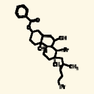 CCCC1C2C(O)C=C3CC(OC(=O)c4ccccc4)CCC3(C)C2CCC1(C)CC(C)CCCC(C)C